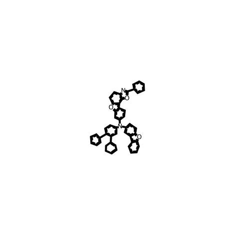 C1=CCCC(c2cc(N(c3ccc4c(c3)oc3ccc5nc(-c6ccccc6)oc5c34)c3ccc4oc5ccccc5c4c3)ccc2-c2ccccc2)=C1